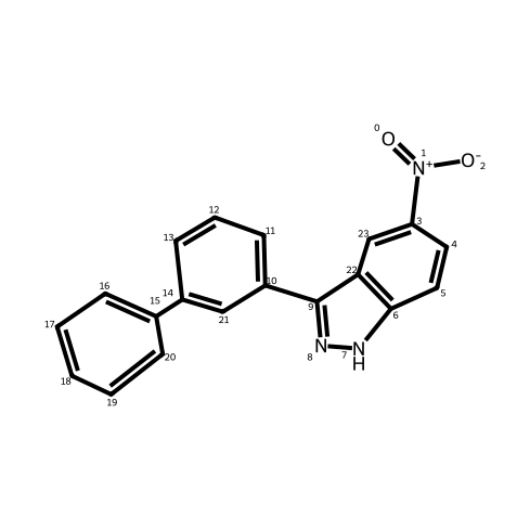 O=[N+]([O-])c1ccc2[nH]nc(-c3cccc(-c4ccccc4)c3)c2c1